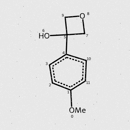 COc1ccc(C2(O)COC2)cc1